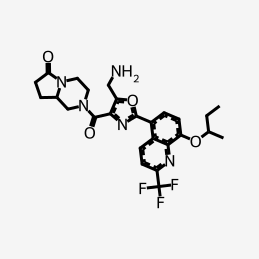 CCC(C)Oc1ccc(-c2nc(C(=O)N3CCN4C(=O)CCC4C3)c(CN)o2)c2ccc(C(F)(F)F)nc12